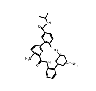 CC(C)NC(=O)c1ccc(F)c(-c2ccc(N)c(C(=O)Nc3cnccc3N3C[C@@H](N)C[C@H](O)C3)n2)c1